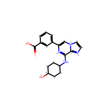 O=C(O)c1cccc(-c2cn3ccnc3c(NC3CCC(O)CC3)n2)c1